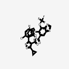 O=C(O)c1cc2scnc2c(OC(F)(F)F)c1N1C[C@H]2CC[C@]1(OC(=O)c1c(-c3c(Cl)cccc3Cl)noc1C1CC1)C2